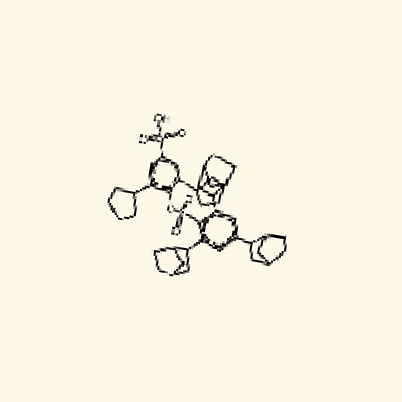 O=S(=O)(O)c1cc(C2CCCC2)c(OS(=O)(=O)c2c(C3CC4CCC3C4)cc(C3CC4CCC3C4)cc2C2CC3CCC2C3)c(C2CCCC2)c1